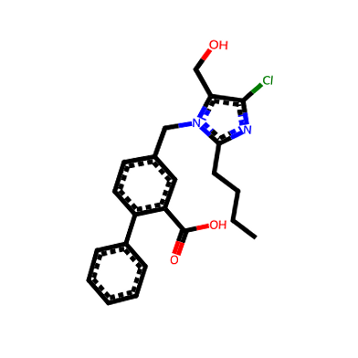 CCCCc1nc(Cl)c(CO)n1Cc1ccc(-c2ccccc2)c(C(=O)O)c1